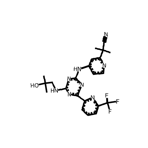 CC(C)(O)CNc1nc(Nc2ccnc(C(C)(C)C#N)c2)nc(-c2cccc(C(F)(F)F)n2)n1